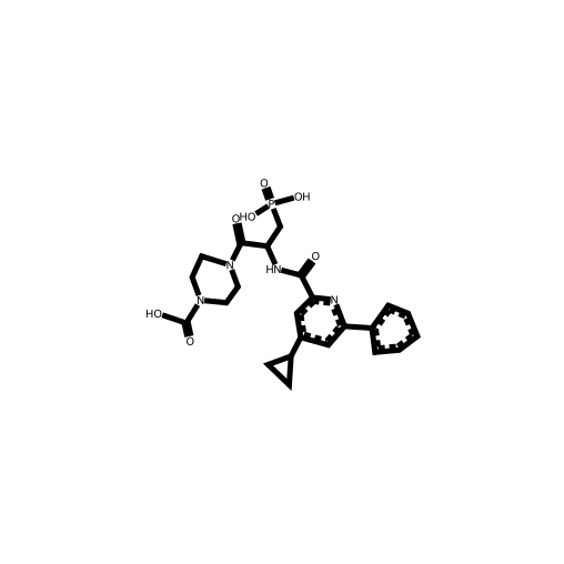 O=C(NC(CP(=O)(O)O)C(=O)N1CCN(C(=O)O)CC1)c1cc(C2CC2)cc(-c2ccccc2)n1